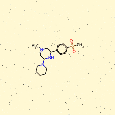 CN1CC(c2ccc(S(C)(=O)=O)cc2)NC(N2CCCCC2)C1